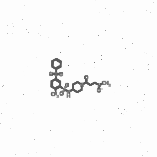 C[S+]([O-])CCC(=O)N1CCC(NS(=O)(=O)c2cc(S(=O)(=O)c3ccccc3)ccc2C(F)(F)F)CC1